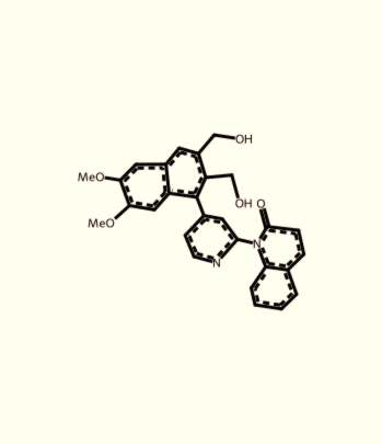 COc1cc2cc(CO)c(CO)c(-c3ccnc(-n4c(=O)ccc5ccccc54)c3)c2cc1OC